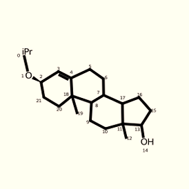 CC(C)O[C@H]1C=C2CCC3C(CCC4(C)C(O)CCC34)C2(C)CC1